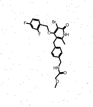 COCC(=O)NCc1ccc(Cc2c(C)[nH]c(=O)c(Br)c2OCc2ccc(F)cc2F)cc1